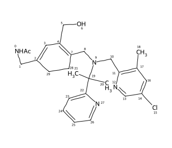 CC(=O)NCC1=CC(CO)=C(CN(Cc2ncc(Cl)cc2C)C(C)(C)c2ccccn2)CC1